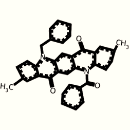 Cc1ccc2c(c1)c(=O)c1cc3c(cc1n2Cc1ccccc1)c(=O)c1cc(C)ccc1n3C(=O)c1ccccc1